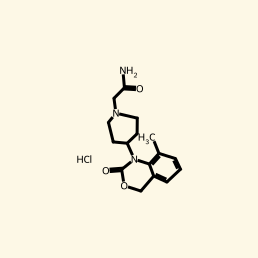 Cc1cccc2c1N(C1CCN(CC(N)=O)CC1)C(=O)OC2.Cl